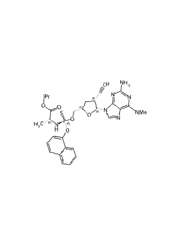 C#C[C@H]1C[C@@H](CO[P@](=S)(N[C@H](C)C(=O)OC(C)C)Oc2cccc3ccccc23)O[C@H]1n1cnc2c(NC)nc(N)nc21